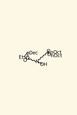 CCCCCCCCCCSCC(CC)C(=O)OCCCCCN(CCO)CCCCCCCC(=O)OC(CCCCCCCC)CCCCCCCC